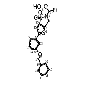 CCC(C(=O)O)N1Cc2sc(-c3cccc(OCc4ccccc4)c3)cc2S1(=O)=O